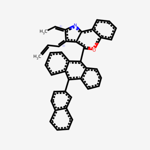 C=C/C=c1/c2c(-c3c4ccccc4c(-c4ccc5ccccc5c4)c4ccccc34)oc3ccccc3c-2n/c1=C/C